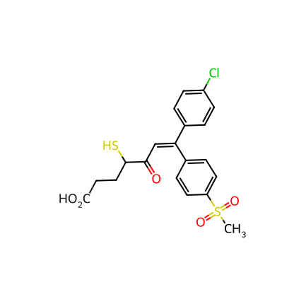 CS(=O)(=O)c1ccc(/C(=C\C(=O)C(S)CCC(=O)O)c2ccc(Cl)cc2)cc1